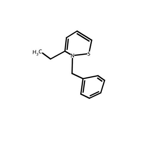 CCC1=CC=CSN1Cc1ccccc1